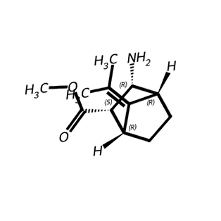 COC(=O)[C@@H]1[C@H](N)[C@@H]2CC[C@H]1C2=C(C)C